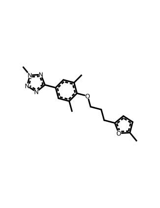 Cc1ccc(CCCOc2c(C)cc(-c3nnn(C)n3)cc2C)o1